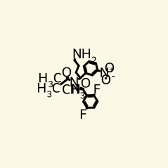 CC(C)(C)C(=O)N1N=C(c2cc(F)ccc2F)OC1(CCCN)c1cccc([N+](=O)[O-])c1